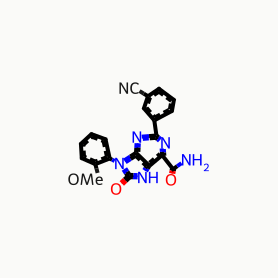 COc1ccccc1-n1c(=O)[nH]c2c(C(N)=O)nc(-c3cccc(C#N)c3)nc21